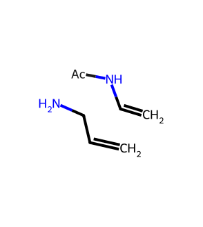 C=CCN.C=CNC(C)=O